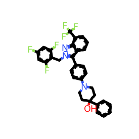 OC1(c2ccccc2)CCN(c2ccc(-c3c4cccc(C(F)(F)F)c4nn3Cc3c(F)cc(F)cc3F)cc2)CC1